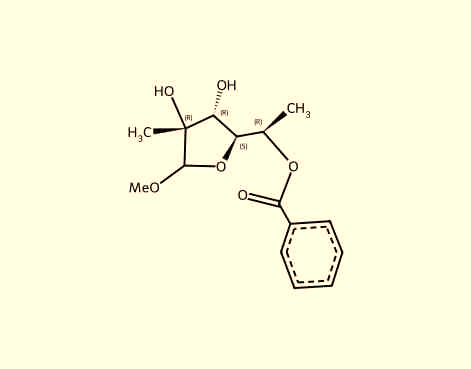 COC1O[C@H]([C@@H](C)OC(=O)c2ccccc2)[C@@H](O)[C@@]1(C)O